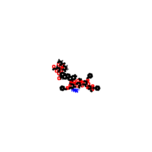 CCC1O[C@@H](OC2[C@H](O[C@H]3CCC4(C)C5CC=C6C7CC(C)(C)CC[C@]7(C(=O)O[C@@H]7OC(COCc8ccccc8)[C@H](N=[N+]=[N-])C(C)C7O[C@@H]7OC(C)[C@H](O[C@@H]8OC[C@@H](OCc9ccccc9)C(O[C@@H]9OC[C@]%10(CC)O[C@@H](c%11ccccc%11)OC9%10)C8C)C8OC(C)(C)OC87)C(OC)C[C@@]6(C)[C@@]5(C)CC[C@H]4[C@@]3(C)C=O)OC(C(C)=O)[C@@H](C)[C@@H]2O[C@@H]2OC[C@@H](C)[C@H](C)C2C)C(C)[C@@H](C)[C@H]1C